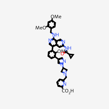 COc1ccc(CNc2ncc(-c3cccc(-c4cnn(C5CN(Cc6cccc(C(=O)O)n6)C5)c4)c3OC)c3cc(NC(=O)C4CC4)ncc23)c(OC)c1